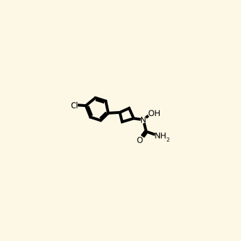 NC(=O)N(O)C1CC(c2ccc(Cl)cc2)C1